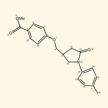 COC(=O)c1ccc(OCC2CC(=O)N(c3ccc(C)cc3)C2)cc1